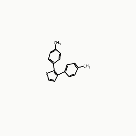 Cc1ccc(-c2ccsc2-c2ccc(C)cc2)cc1